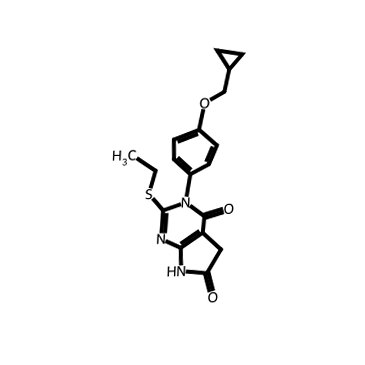 CCSc1nc2c(c(=O)n1-c1ccc(OCC3CC3)cc1)CC(=O)N2